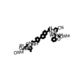 C=C1C[C@@H](c2ncc(-c3ccc(-c4ccc5cc(-c6cnc([C@@H]7C[C@H](C#N)CN7C(=O)[C@H](NC(=O)OC)c7ccccc7)[nH]6)ccc5c4)cc3)[nH]2)N(C(=O)[C@@H](NC(=O)OC)C(C)C)C1